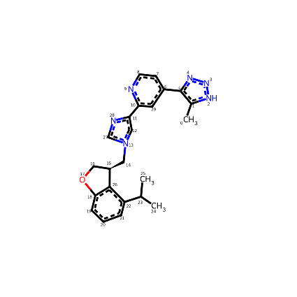 Cc1[nH]nnc1-c1ccnc(-c2cn(C[C@@H]3COc4cccc(C(C)C)c43)cn2)c1